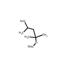 CC(=O)OC(C)CC(C)(C)OC=O